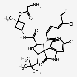 C=C(/C=C\C=C(\Cl)CF)[C@H]1[C@H](C(=O)N[C@H]2C[C@](C)(OC(=O)CN)C2)N[C@H](CC(C)(C)C)[C@]12C(=O)Nc1cc(Cl)ccc12